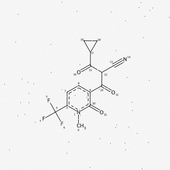 Cn1c(C(F)(F)F)ccc(C(=O)C(C#N)C(=O)C2CC2)c1=O